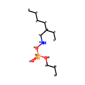 CCCCC(CC)CNO[PH](=O)OCCC